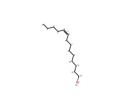 CCCC/C=C\CCCCCCCCBr